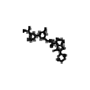 Cn1c(C2COCCO2)nc2ncnc(C(=O)NCc3cc(F)cc(/C(C=N)=C/NC(F)F)c3)c21